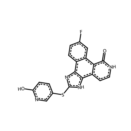 O=c1[nH]ccc2c3[nH]c(Sc4ccc(O)nc4)nc3c3ccc(F)cc3c12